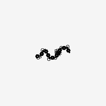 Cc1ccc(C(=O)c2ccc(Oc3ccc(C(c4ccc(Oc5ccc(C(=O)c6ccc(-c7ccc(C)c(C(=O)c8ccc(SC9CCCCO9)cc8)c7)cc6)cc5)cc4)(C(F)(F)F)C(F)(F)F)cc3)cc2)cc1